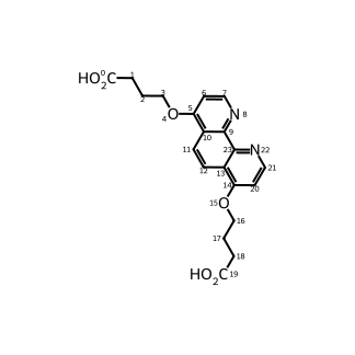 O=C(O)CCCOc1ccnc2c1ccc1c(OCCCC(=O)O)ccnc12